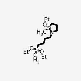 CCO[Si](C)(CCCCN1CCC[Si]1(C)OCC)OCC